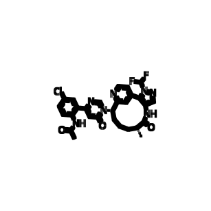 CC(=O)Nc1ccc(Cl)cc1-c1cc(=O)n([C@H]2CCC[C@@H](C)C(=O)Nc3cnn(C(F)F)c3-c3ccnc2c3)cn1